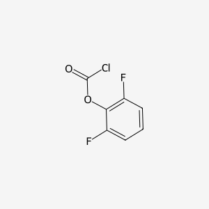 O=C(Cl)Oc1c(F)cccc1F